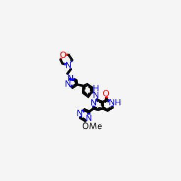 COc1cncc(-c2cc3cc[nH]c(=O)c3c(Nc3ccc(-c4cnn(CCN5CCOCC5)c4)cc3)n2)n1